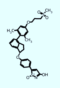 Cc1cc(OCCCS(C)(=O)=O)cc(C)c1-c1cccc2c1CC[C@H]2Oc1ccc(-c2cc(O)n[s+]2[O-])cc1